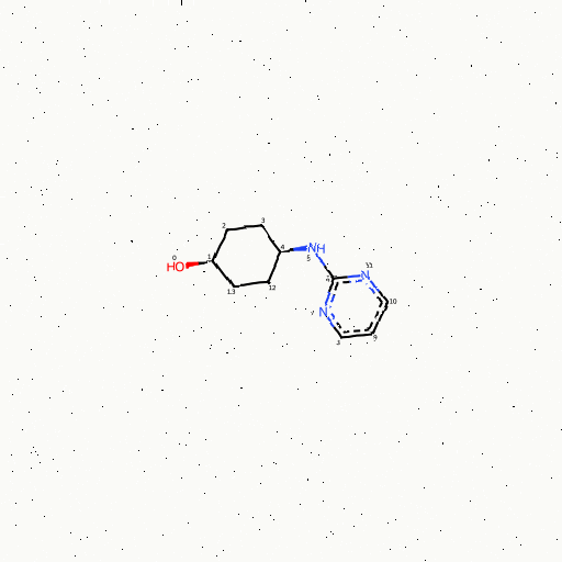 O[C@H]1CC[C@@H](Nc2ncccn2)CC1